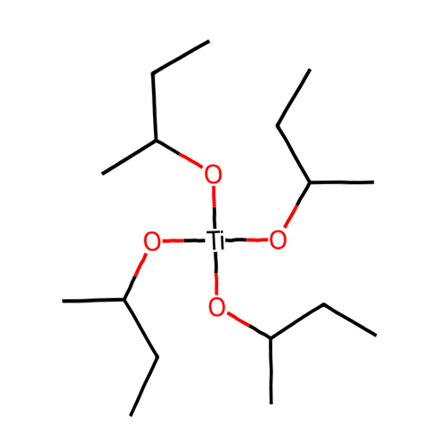 CCC(C)[O][Ti]([O]C(C)CC)([O]C(C)CC)[O]C(C)CC